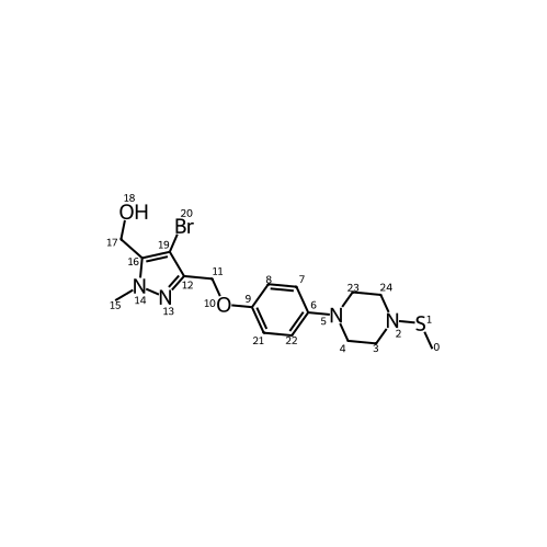 CSN1CCN(c2ccc(OCc3nn(C)c(CO)c3Br)cc2)CC1